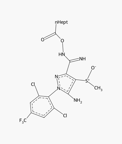 CCCCCCCC(=O)ONC(=N)c1nn(-c2c(Cl)cc(C(F)(F)F)cc2Cl)c(N)c1[S+](C)[O-]